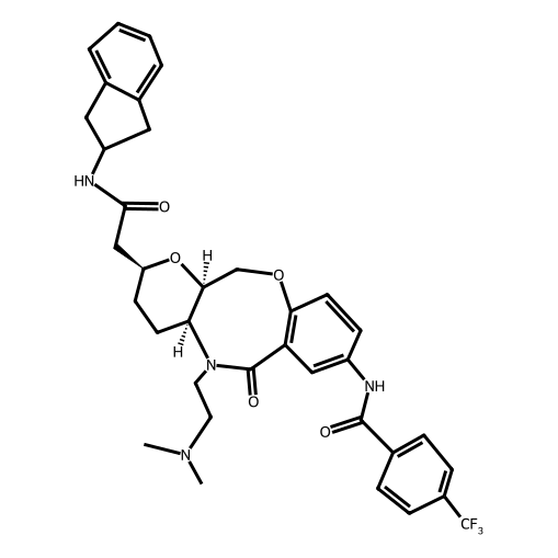 CN(C)CCN1C(=O)c2cc(NC(=O)c3ccc(C(F)(F)F)cc3)ccc2OC[C@@H]2O[C@H](CC(=O)NC3Cc4ccccc4C3)CC[C@@H]21